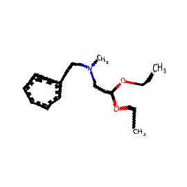 CCOC(CN(C)Cc1ccccc1)OCC